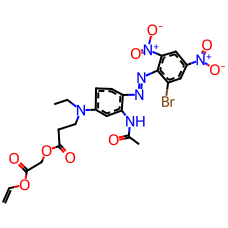 C=COC(=O)COC(=O)CCN(CC)c1ccc(/N=N/c2c(Br)cc([N+](=O)[O-])cc2[N+](=O)[O-])c(NC(C)=O)c1